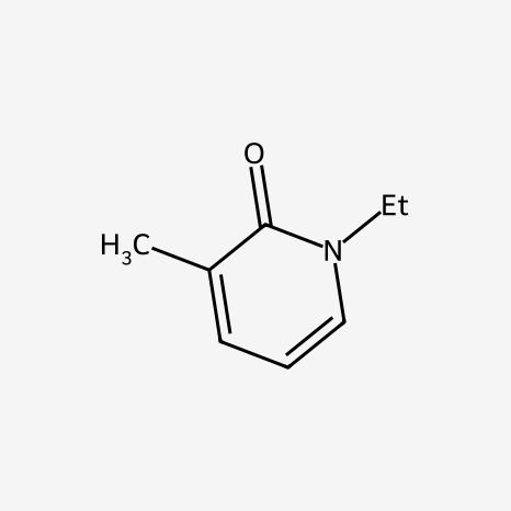 [CH2]Cn1cccc(C)c1=O